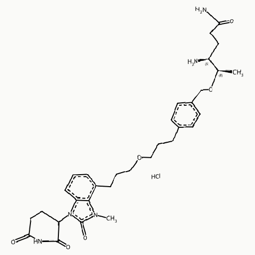 C[C@@H](OCc1ccc(CCCOCCCc2cccc3c2n(C)c(=O)n3C2CCC(=O)NC2=O)cc1)[C@@H](N)CCC(N)=O.Cl